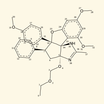 CCOCO[C@]12C[C@@H](c3ccccc3)[C@]3(c4ccc(OC)cc4)Oc4cc(OC)cc(OC)c4[C@]13NC(C)=N2